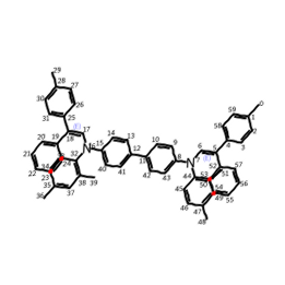 Cc1ccc(/C(=C/N(c2ccc(-c3ccc(N(/C=C(\c4ccccc4)c4ccc(C)cc4)c4ccc(C)cc4C)cc3)cc2)c2ccc(C)cc2C)c2ccccc2)cc1